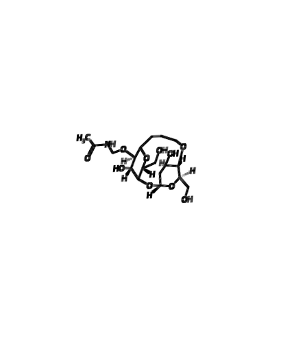 CC(=O)NCO[C@H]1C2CCCO[C@H]3[C@H](O)C[C@@H](OC([C@@H](CO)O2)[C@@H]1O)O[C@@H]3CO